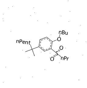 [CH2]CCS(=O)(=O)c1cc(C(C)(C)CCCCC)ccc1OCCCC